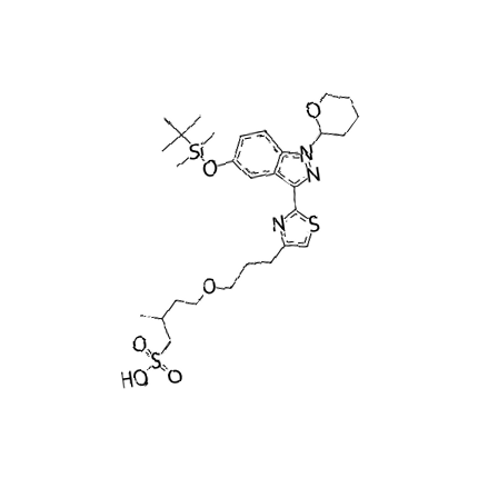 CC(CCOCCCc1csc(-c2nn(C3CCCCO3)c3ccc(O[Si](C)(C)C(C)(C)C)cc23)n1)CS(=O)(=O)O